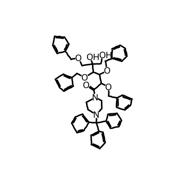 O=C(C(OCc1ccccc1)C(OCc1ccccc1)C(OCc1ccccc1)C(O)(CO)COCc1ccccc1)N1CCN(C(c2ccccc2)(c2ccccc2)c2ccccc2)CC1